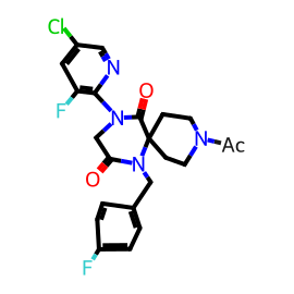 CC(=O)N1CCC2(CC1)C(=O)N(c1ncc(Cl)cc1F)CC(=O)N2Cc1ccc(F)cc1